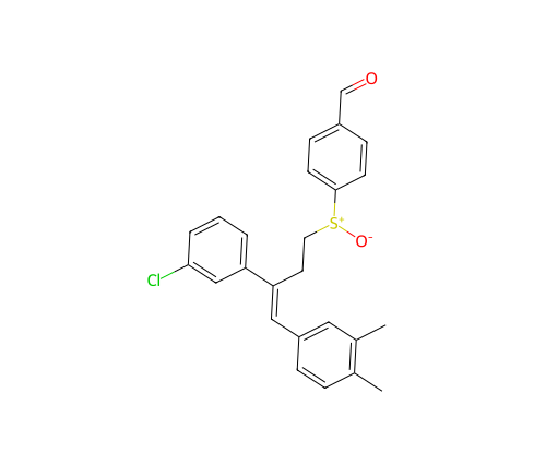 Cc1ccc(/C=C(\CC[S+]([O-])c2ccc(C=O)cc2)c2cccc(Cl)c2)cc1C